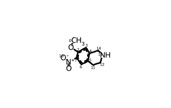 COc1cc2c(cc1[N+](=O)[O-])CCNC2